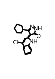 O=C1NN=C(C2CCCCC2)C1=C1C=C(Cl)c2ccccc2N1